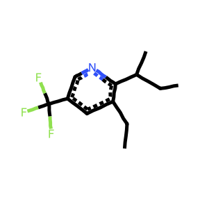 CCc1cc(C(F)(F)F)cnc1C(C)CC